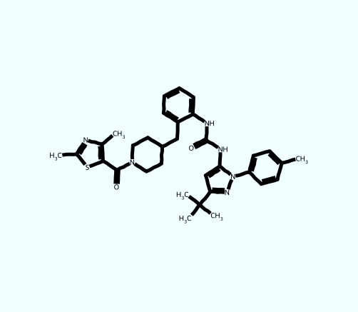 Cc1ccc(-n2nc(C(C)(C)C)cc2NC(=O)Nc2ccccc2CC2CCN(C(=O)c3sc(C)nc3C)CC2)cc1